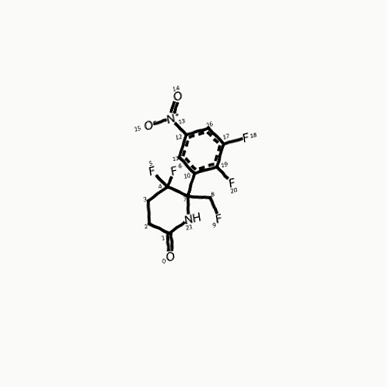 O=C1CCC(F)(F)C(CF)(c2cc([N+](=O)[O-])cc(F)c2F)N1